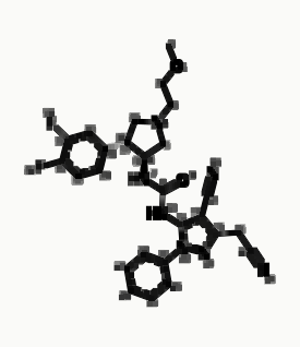 COCCN1C[C@@H](NC(=O)Nc2c(C#N)c(CC#N)nn2-c2ccccc2)[C@H](c2ccc(F)c(F)c2)C1